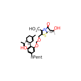 C=C(C)[C@@H]1CCC(C)=C[C@H]1c1c(O)cc(CCCCC)cc1OCOCC1=C(C(=O)O)N2C(=O)[C@H]([C@@H](C)O)C2S1